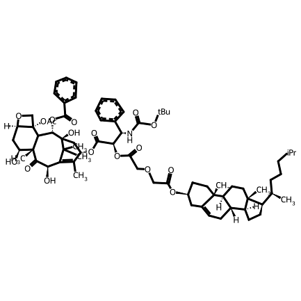 CC(=O)O[C@@]12CO[C@@H]1C[C@H](O)[C@@]1(C)C(=O)[C@H](O)C3=C(C)[C@@H](OC(=O)[C@H](OC(=O)COCC(=O)O[C@H]4CC[C@@]5(C)C(=CC[C@H]6[C@@H]7CC[C@H]([C@H](C)CCCC(C)C)[C@@]7(C)CC[C@@H]65)C4)[C@@H](NC(=O)OC(C)(C)C)c4ccccc4)C[C@@](O)([C@@H](OC(=O)c4ccccc4)C12)C3(C)C